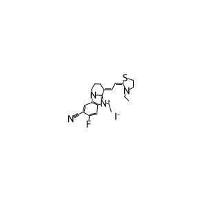 CCN1CCSC1=CC=C1CCCn2c1[n+](CC)c1cc(F)c(C#N)cc12.[I-]